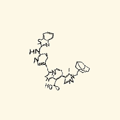 Cc1c(-c2ccn3c(-c4ccc(Nc5nc6ccccc6s5)nc4)cnc3c2C(=O)O)cnn1CC12CC3CC(CC(C3)C1)C2